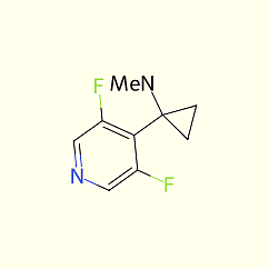 CNC1(c2c(F)cncc2F)CC1